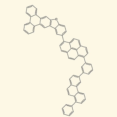 c1ccc(-c2cccc3c2ccc2ccc(-c4cccc(-c5ccc6ccc7c(-c8ccc9oc%10cc%11c%12ccccc%12c%12ccccc%12c%11cc%10c9c8)ccc8ccc5c6c87)c4)cc23)cc1